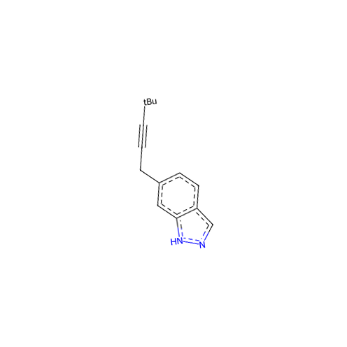 CC(C)(C)C#CCc1ccc2cn[nH]c2c1